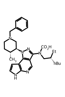 CCCC[C@@H](CC)CN(C(=O)O)c1nn([C@@H]2CN(Cc3ccccc3)CC[C@H]2C)c2c1cnc1[nH]ccc12